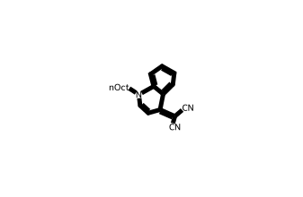 CCCCCCCCN1C=CC(=C(C#N)C#N)c2ccccc21